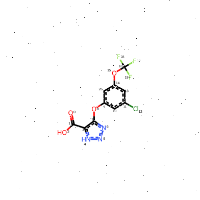 O=C(O)c1[nH]nnc1Oc1cc(Cl)cc(OC(F)(F)F)c1